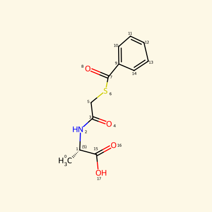 C[C@H](NC(=O)CSC(=O)c1ccccc1)C(=O)O